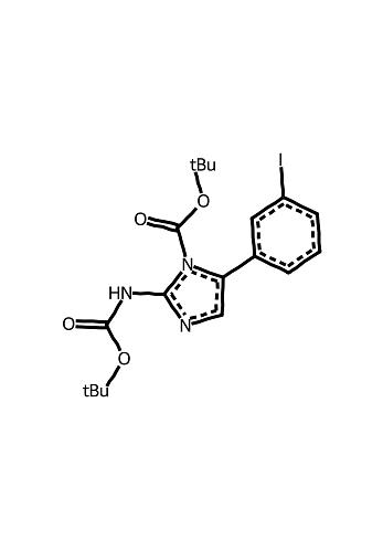 CC(C)(C)OC(=O)Nc1ncc(-c2cccc(I)c2)n1C(=O)OC(C)(C)C